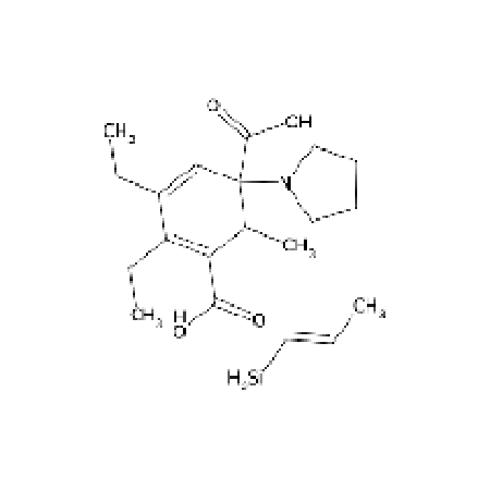 CC=C[SiH3].CCC1=CC(C(=O)O)(N2CCCC2)C(C)C(C(=O)O)=C1CC